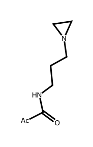 CC(=O)C(=O)NCCCN1CC1